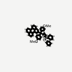 COc1ccc(C(c2ccc(OC)cc2)(c2cc3cccc4c5cccc6cccc(c(c2)c34)c65)c2ccc(P(=O)(c3ccccc3)c3ccccc3)s2)cc1